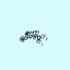 CN(C)S(=O)(=O)c1ccc(-c2ccc(NC(=O)Nc3cc(C(F)(F)F)cc(C(F)(F)F)c3)cc2-c2nnn[nH]2)cc1